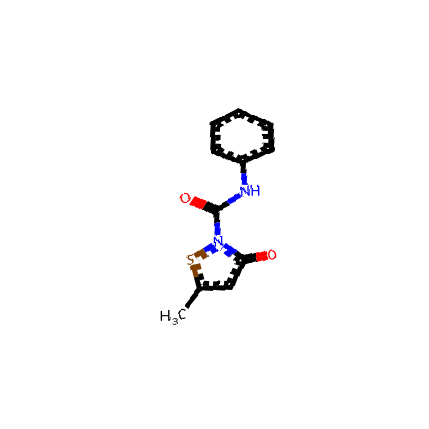 Cc1cc(=O)n(C(=O)Nc2ccccc2)s1